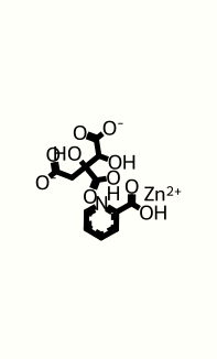 O=C(O)c1ccccn1.O=C([O-])CC(O)(C(=O)O)C(O)C(=O)[O-].[Zn+2]